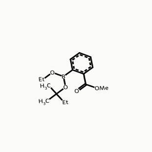 CCOB(OC(C)(C)CC)c1ccccc1C(=O)OC